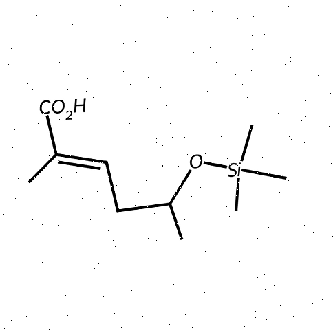 CC(=CCC(C)O[Si](C)(C)C)C(=O)O